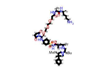 CN[C@H](CN(C)[C@H](CNC(/C=C(\C)C(=O)NS(=O)(=O)c1ccc(N[C@H](COCCOCCOCCC(=O)N[C@H](C(=O)N[C@@H](C)CCCCN)C(C)C)N2C(=O)C=CC2=O)cc1)C(C)C)C(C)(C)C)C(C)(C)c1ccccc1